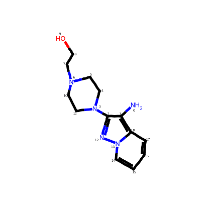 Nc1c(N2CCN(CCO)CC2)nn2ccccc12